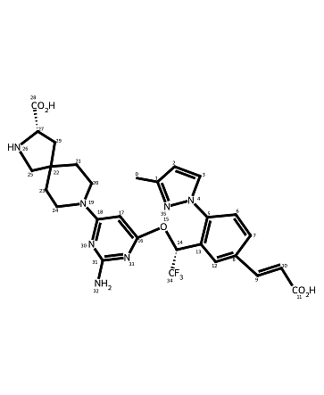 Cc1ccn(-c2ccc(/C=C/C(=O)O)cc2[C@@H](Oc2cc(N3CCC4(CC3)CN[C@H](C(=O)O)C4)nc(N)n2)C(F)(F)F)n1